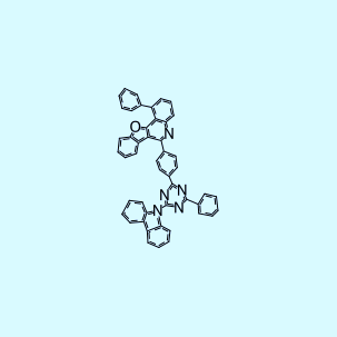 c1ccc(-c2nc(-c3ccc(-c4nc5cccc(-c6ccccc6)c5c5oc6ccccc6c45)cc3)nc(-n3c4ccccc4c4ccccc43)n2)cc1